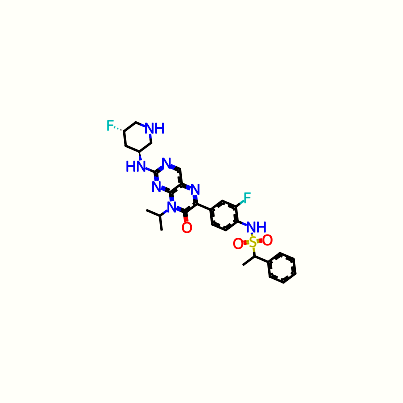 CC(C)n1c(=O)c(-c2ccc(NS(=O)(=O)C(C)c3ccccc3)c(F)c2)nc2cnc(N[C@@H]3CNC[C@@H](F)C3)nc21